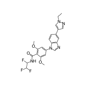 CCn1cc(-c2ccc3c(c2)ncn3-c2cc(OC)c(C(=O)NC(F)C(F)F)c(OC)c2)cn1